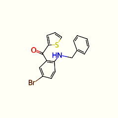 O=C(c1cccs1)c1cc(Br)ccc1NCc1ccccc1